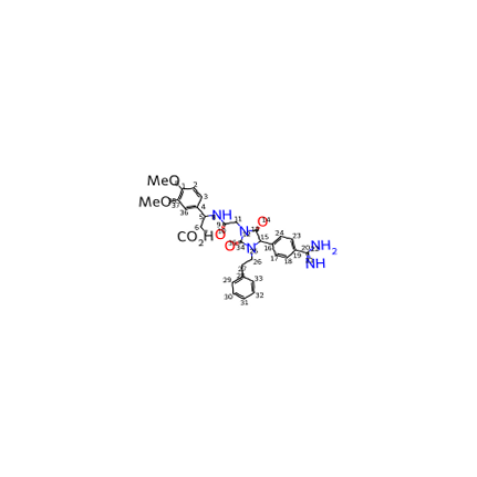 COc1ccc(C(CC(=O)O)NC(=O)CN2C(=O)C(c3ccc(C(=N)N)cc3)N(CCc3ccccc3)C2=O)cc1OC